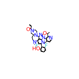 C=CC(=O)N1CCN2C3=NC4OC(C)c5nccc(C)c5N4c4nc(-c5c(O)cccc5F)c(F)c(c43)N(C)CCC2C1